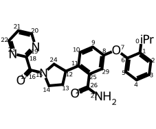 CC(C)c1ccccc1Oc1ccc(C2CCN(C(=O)c3ncccn3)C2)c(C(N)=O)c1